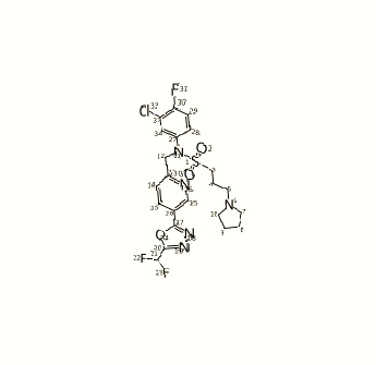 O=S(=O)(CCCN1CCCC1)N(Cc1ccc(-c2nnc(C(F)F)o2)cn1)c1ccc(F)c(Cl)c1